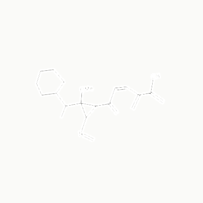 C=NC1C(C(=C)/C=C\C(=C)C(=C)O)C1(OC)C(C)C1CCCCC1